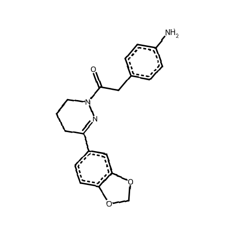 Nc1ccc(CC(=O)N2CCCC(c3ccc4c(c3)OCO4)=N2)cc1